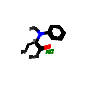 CCCN(c1ccccc1)[C@@H](CC(C)C)C(=O)OC.Cl